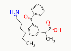 CC(C(=O)O)c1cccc(C(=O)c2ccccc2)c1.CCCCCCN